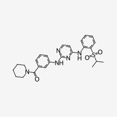 CC(C)S(=O)(=O)c1ccccc1Nc1ccnc(Nc2cccc(C(=O)N3CCCCC3)c2)n1